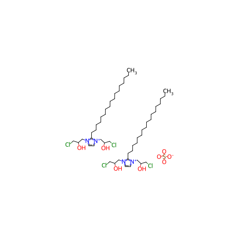 CCCCCCCCCCCCCCCCCc1n(CC(O)CCl)cc[n+]1CC(O)CCl.CCCCCCCCCCCCCCCCCc1n(CC(O)CCl)cc[n+]1CC(O)CCl.O=S(=O)([O-])[O-]